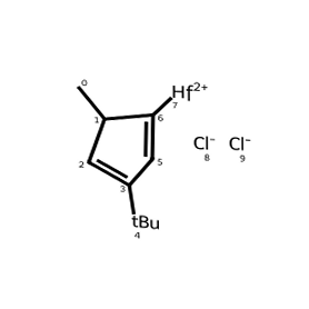 CC1C=C(C(C)(C)C)C=[C]1[Hf+2].[Cl-].[Cl-]